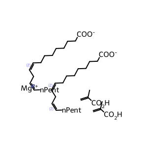 C=C(C)C(=O)O.C=C(C)C(=O)O.CCCCC/C=C\C/C=C\CCCCCCCC(=O)[O-].CCCCC/C=C\C/C=C\CCCCCCCC(=O)[O-].[Mg+2]